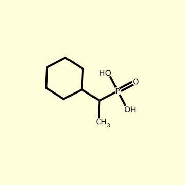 CC(C1CCCCC1)P(=O)(O)O